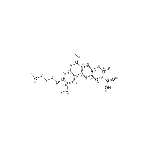 CCC1Cc2cc(OCCCOC)c(OC)cc2-c2cc(=O)c(CN(C)CC(=O)O)cn21